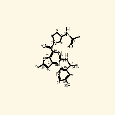 CC(=O)NC1CCN(C(=O)c2nc(N[C@@H](C)c3cncc(F)c3)nc3cc(C)sc23)C1